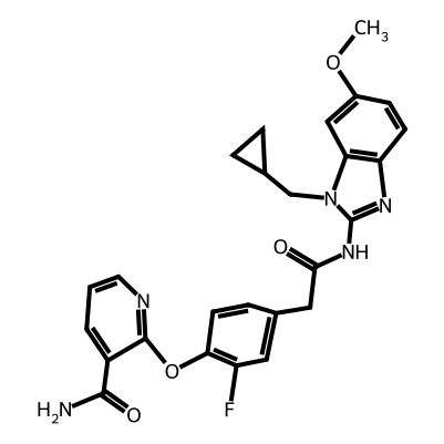 COc1ccc2nc(NC(=O)Cc3ccc(Oc4ncccc4C(N)=O)c(F)c3)n(CC3CC3)c2c1